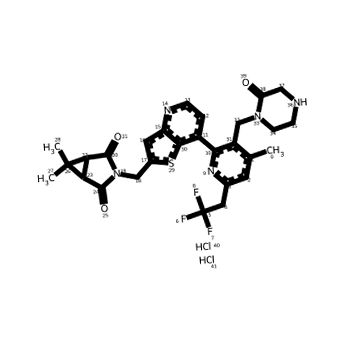 Cc1cc(CC(F)(F)F)nc(-c2ccnc3cc(CN4C(=O)C5C(C4=O)C5(C)C)sc23)c1CN1CCNCC1=O.Cl.Cl